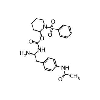 CC(=O)Nc1ccc(C[C@@H](N)NC(=O)O[C@H]2CCCCN2S(=O)(=O)c2ccccc2)cc1